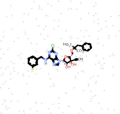 C#C[C@@]1(O)[C@@H](COC(Cc2ccccc2)(C(=O)O)C(=O)O)O[C@@H](n2cnc3c(NCc4cccc(F)c4)nc(Cl)nc32)[C@@H]1O